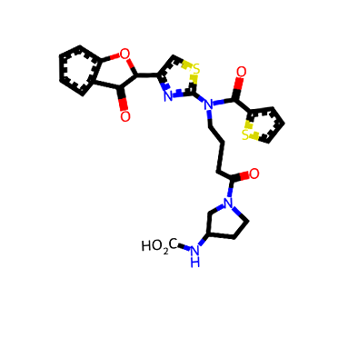 O=C(O)NC1CCN(C(=O)CCCN(C(=O)c2cccs2)c2nc(C3Oc4ccccc4C3=O)cs2)C1